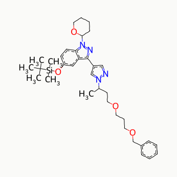 CC(CCOCCCOCc1ccccc1)n1cc(-c2nn(C3CCCCO3)c3ccc(O[Si](C)(C)C(C)(C)C)cc23)cn1